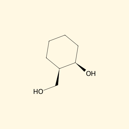 OC[C@H]1CCCC[C@H]1O